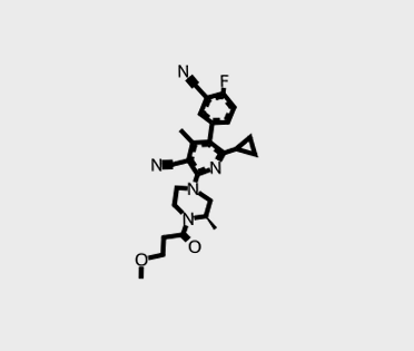 COCCC(=O)N1CCN(c2nc(C3CC3)c(-c3ccc(F)c(C#N)c3)c(C)c2C#N)C[C@H]1C